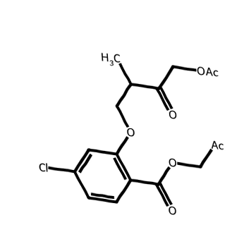 CC(=O)COC(=O)c1ccc(Cl)cc1OCC(C)C(=O)COC(C)=O